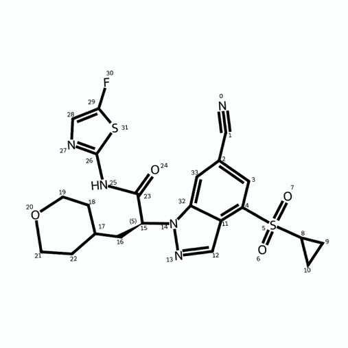 N#Cc1cc(S(=O)(=O)C2CC2)c2cnn([C@@H](CC3CCOCC3)C(=O)Nc3ncc(F)s3)c2c1